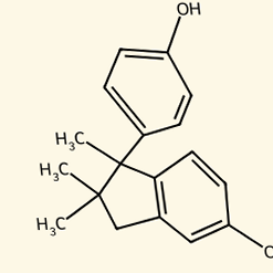 CC1(C)Cc2cc(O)ccc2C1(C)c1ccc(O)cc1